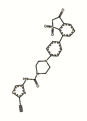 C#Cc1nc(NC(=O)N2CCN(c3ccc(-c4cccc5c4S(=O)(=O)CC5=O)cc3)CC2)cs1